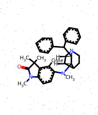 COc1c(N(C)[C@H]2C3CCN(CC3)[C@H]2C(c2ccccc2)c2ccccc2)ccc2c1C(C)(C)C(=O)N2C